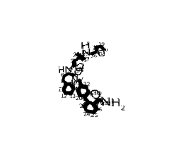 CC(C)(CC(=O)NC1CCc2ccccc2N(Cc2ccc(-c3ccccc3C(N)=O)cc2)C1=O)NCc1ccco1